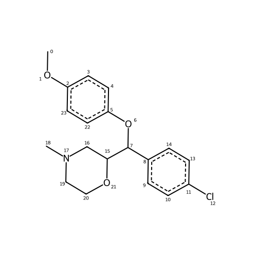 COc1ccc(OC(c2ccc(Cl)cc2)C2CN(C)CCO2)cc1